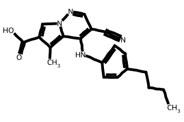 CCCCc1ccc(Nc2c(C#N)cnn3cc(C(=O)O)c(C)c23)cc1